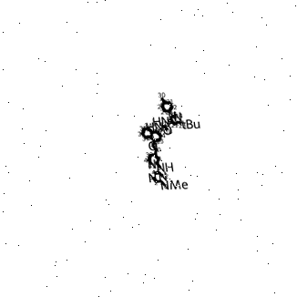 CNc1cncc(Nc2cc(COc3ccc(NC(=O)Nc4cc(C(C)(C)C)nn4-c4ccc(C)cc4)c4ccccc34)ccn2)n1